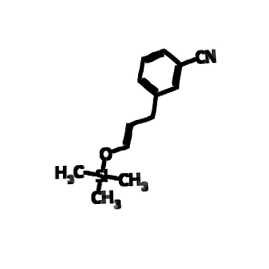 C[Si](C)(C)O/C=C/Cc1cccc(C#N)c1